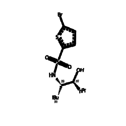 CCC[C@H](O)[C@@H](NS(=O)(=O)c1ccc(Br)s1)[C@@H](C)CC